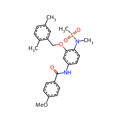 COc1ccc(C(=O)Nc2ccc(N(C)S(C)(=O)=O)c(OCc3cc(C)ccc3C)c2)cc1